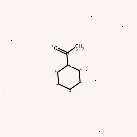 [CH2]C(=O)C1CCCCC1